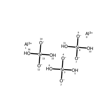 [Al+3].[Al+3].[O-][Si]([O-])(O)O.[O-][Si]([O-])(O)O.[O-][Si]([O-])(O)O